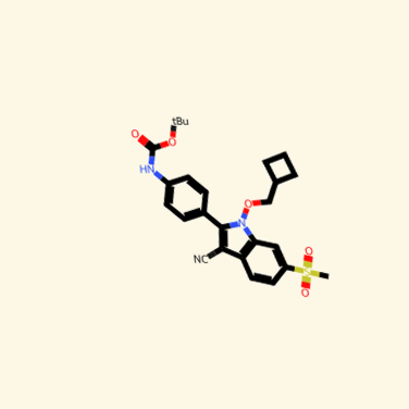 CC(C)(C)OC(=O)Nc1ccc(-c2c(C#N)c3ccc(S(C)(=O)=O)cc3n2OCC2CCC2)cc1